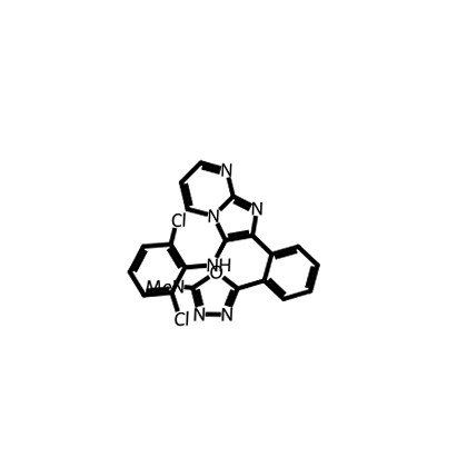 CNc1nnc(-c2ccccc2-c2nc3ncccn3c2Nc2c(Cl)cccc2Cl)o1